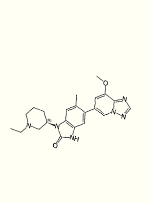 CCN1CCC[C@@H](n2c(=O)[nH]c3cc(-c4cc(OC)c5ncnn5c4)c(C)cc32)C1